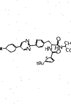 CCC1CC=C(c2cnc(-c3ccc(C[C@H](NC(=O)c4ccc(C(C)(C)C)s4)C(=O)N[C@H](C)C(=O)O)cc3)nc2)CC1